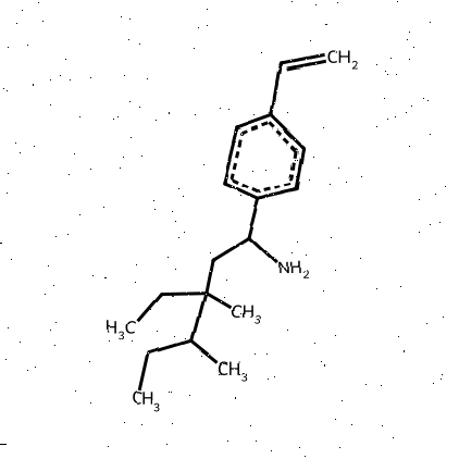 C=Cc1ccc(C(N)CC(C)(CC)C(C)CC)cc1